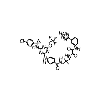 CC(C)(CNC(=O)C(=O)Nc1cccc(-c2nn[nH]n2)c1)CNC(=O)c1ccc(Nc2nc(NC3(c4ccc(Cl)cc4)CC3)nc(OCC(F)(F)F)n2)cc1